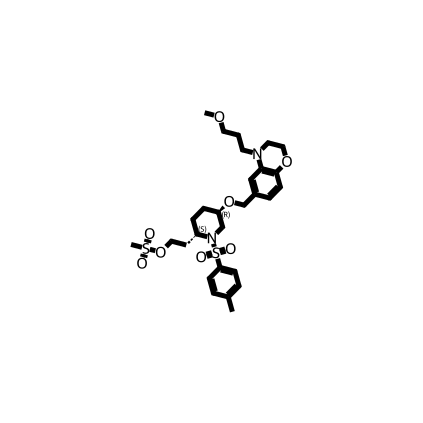 COCCCN1CCOc2ccc(CO[C@@H]3CC[C@@H](CCOS(C)(=O)=O)N(S(=O)(=O)c4ccc(C)cc4)C3)cc21